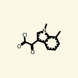 Cc1cccc2c(C(=O)C(=O)Cl)cn(C)c12